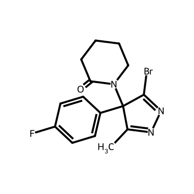 CC1=NN=C(Br)C1(c1ccc(F)cc1)N1CCCCC1=O